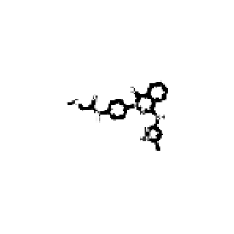 COCC(=O)Nc1ccc(-n2nc(Nc3cc(C)[nH]n3)c3ccccc3c2=O)cc1